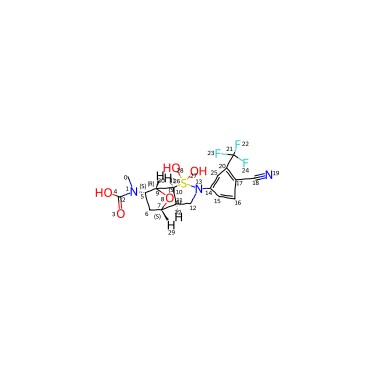 CN(C(=O)O)[C@H]1C[C@@H]2O[C@H]1[C@@H]1[C@H]2CN(c2ccc(C#N)c(C(F)(F)F)c2)S1(O)O